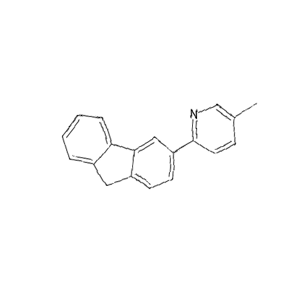 Cc1ccc(-c2ccc3c(c2)-c2ccccc2C3)nc1